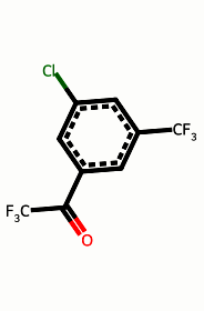 O=C(c1cc(Cl)cc(C(F)(F)F)c1)C(F)(F)F